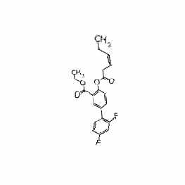 CC/C=C\CC(=O)Oc1ccc(-c2ccc(F)cc2F)cc1C(=O)OCC